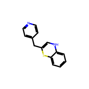 C1=C(Cc2ccncc2)Sc2ccccc2N1